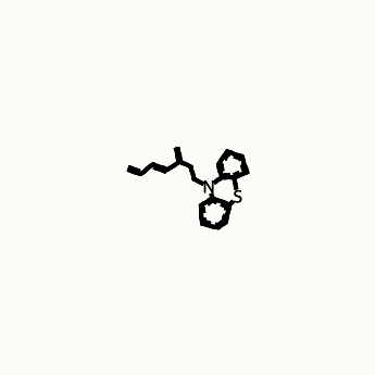 C=CC=CC(=C)CCN1c2ccccc2Sc2ccccc21